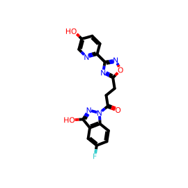 O=C(CCc1nc(-c2ccc(O)cn2)no1)n1nc(O)c2cc(F)ccc21